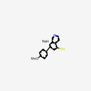 COc1ccc(-c2cc(S)c3ccncc3c2)cc1.[NaH]